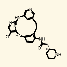 O=C(C[C@H]1CCCNC1)Nc1ccc2cc1CCc1cncc(c1)Nc1ncc(Cl)c(n1)N2